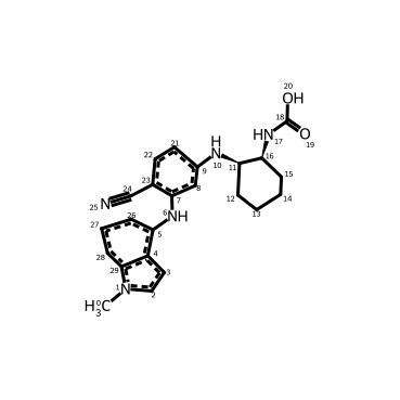 Cn1ccc2c(Nc3cc(N[C@@H]4CCCC[C@@H]4NC(=O)O)ccc3C#N)cccc21